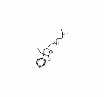 CCC1(c2ccccc2)CC(CNCCN(C)C)OC1=O